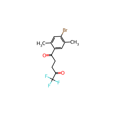 Cc1cc(C(=O)CCC(=O)C(F)(F)F)c(C)cc1Br